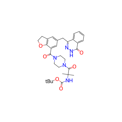 CC(C)(C)OC(=O)NC(C)(C)C(=O)N1CCN(C(=O)c2cc(Cc3n[nH]c(=O)c4ccccc34)cc3c2OCC3)CC1